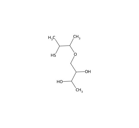 CC(O)C(O)COC(C)C(C)S